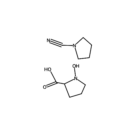 N#CN1CCCC1.O=C(O)C1CCCN1O